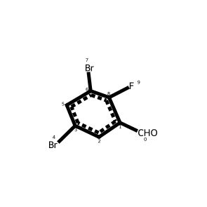 O=Cc1cc(Br)cc(Br)c1F